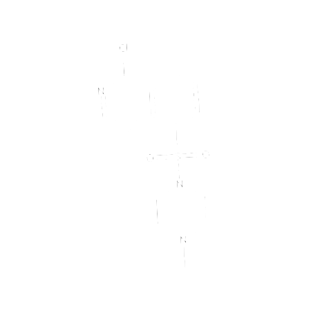 CN1CCN(S(=O)(=O)c2cccc3c(Cl)nccc23)CC1